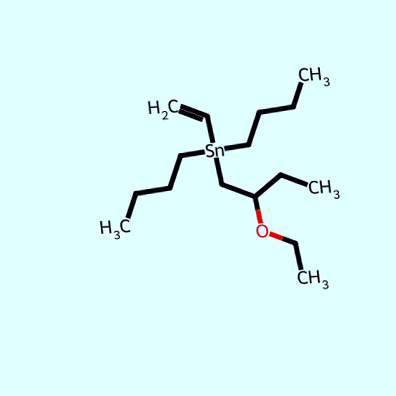 C=[CH][Sn]([CH2]CCC)([CH2]CCC)[CH2]C(CC)OCC